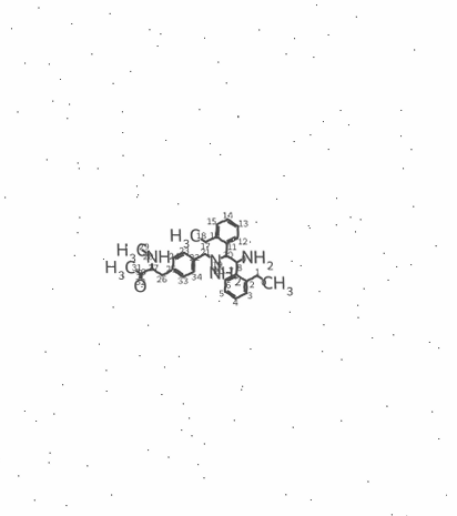 CCc1ccccc1C(N)C(c1ccccc1CC)N(N)Cc1ccc(CC(NC)C(C)=O)cc1